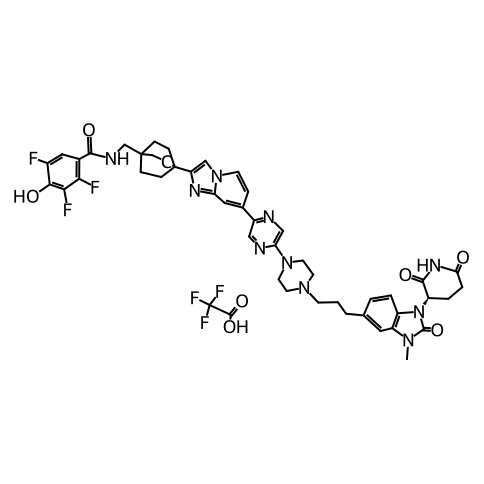 Cn1c(=O)n([C@@H]2CCC(=O)NC2=O)c2ccc(CCCN3CCN(c4cnc(-c5ccn6cc(C78CCC(CNC(=O)c9cc(F)c(O)c(F)c9F)(CC7)CC8)nc6c5)cn4)CC3)cc21.O=C(O)C(F)(F)F